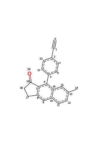 C#Cc1ccc(-c2c3c(cc4ccc(C)cc24)CCC3=O)cc1